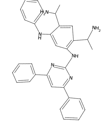 CC(N)c1cc(C(C)N)c(Nc2nc(-c3ccccc3)cc(-c3ccccc3)n2)cc1Nc1ccccc1